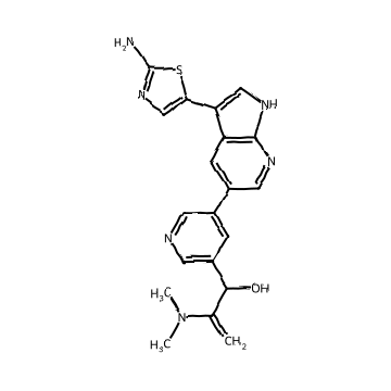 C=C(C(O)c1cncc(-c2cnc3[nH]cc(-c4cnc(N)s4)c3c2)c1)N(C)C